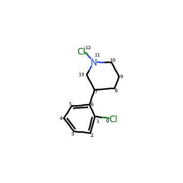 Clc1ccccc1C1CCCN(Cl)C1